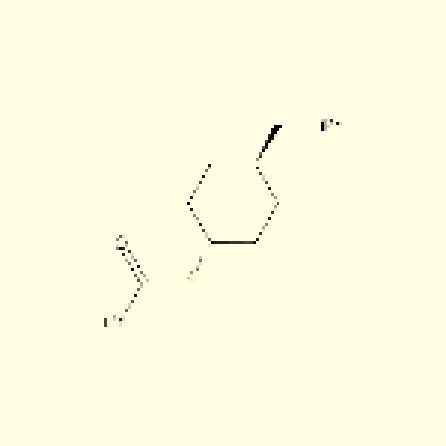 CC(C)C[C@H]1CC[C@H](CC(=O)C(C)C)CC1